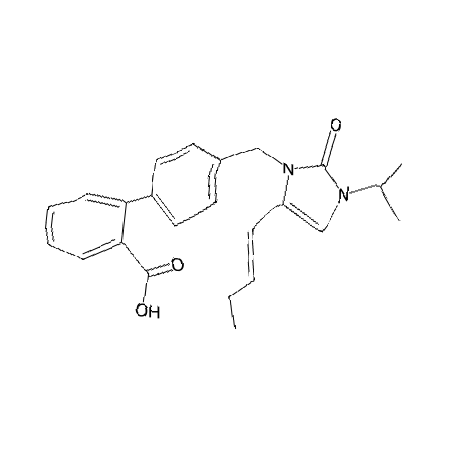 CCC=Cc1cn(C(C)C)c(=O)n1Cc1ccc(-c2ccccc2C(=O)O)cc1